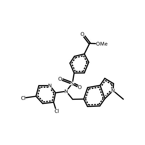 COC(=O)c1ccc(S(=O)(=O)N(Cc2ccc3c(ccn3C)c2)c2ncc(Cl)cc2Cl)cc1